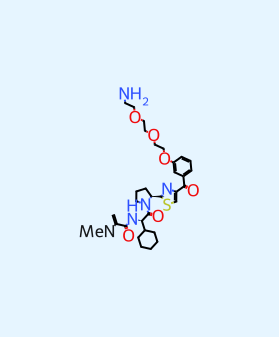 C=C(NC)C(=O)N[C@H](C(=O)N1CCC[C@H]1c1nc(C(=O)c2cccc(OCCOCCOCCN)c2)cs1)C1CCCCC1